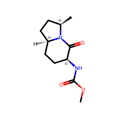 COC(=O)N[C@H]1CC[C@H]2CC[C@@H](C)N2C1=O